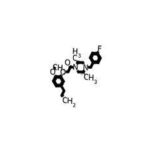 C=CCc1ccc(OC)c(OCC(=O)N2C[C@@H](C)N(Cc3ccc(F)cc3)C[C@@H]2C)c1